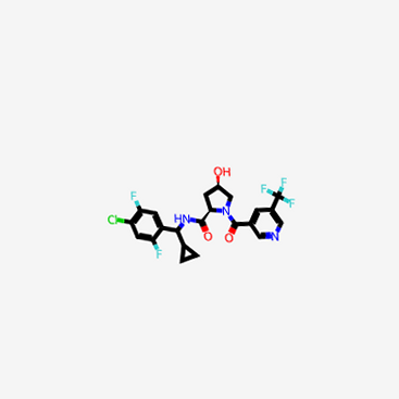 O=C(NC(c1cc(F)c(Cl)cc1F)C1CC1)[C@H]1C[C@@H](O)CN1C(=O)c1cncc(C(F)(F)F)c1